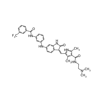 Cc1[nH]c(C=C2C(=O)Nc3cc(Nc4cccc(NC(=O)c5cccc(C(F)(F)F)c5)c4)ccc32)c(C)c1C(=O)NCCN(C)C